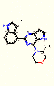 C[C@@H]1COCCN1c1nc(-c2cccc3[nH]ccc23)nc2cc[nH]c12